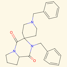 O=C1C2CCCN2C(=O)C2(CCN(Cc3ccccc3)CC2)N1Cc1ccccc1